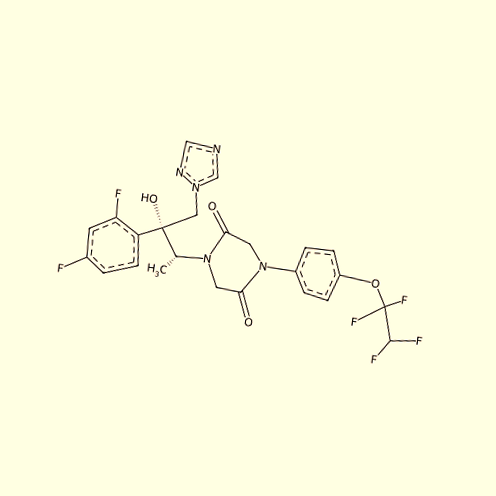 C[C@@H](N1CC(=O)N(c2ccc(OC(F)(F)C(F)F)cc2)CC1=O)[C@](O)(Cn1cncn1)c1ccc(F)cc1F